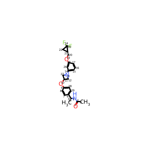 CC(=O)N[C@@H](C)c1ccc(OC2CN(c3cccc(OC[C@H]4CC4(F)F)c3)C2)cc1